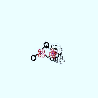 [CH2]C(CCOP(=O)(OCc1ccccc1)OCc1ccccc1)OP(=O)(OC(C)(C)C)OC(C)(C)C